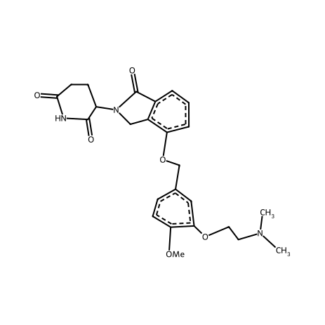 COc1ccc(COc2cccc3c2CN(C2CCC(=O)NC2=O)C3=O)cc1OCCN(C)C